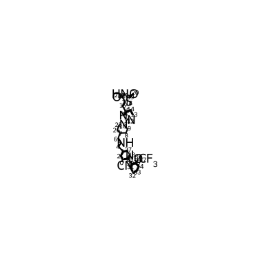 N#Cc1cc(CNCC2CCN(c3nccc(/C=C4\SC(=O)NC4=O)n3)CC2)cnc1-c1ccccc1OC(F)(F)F